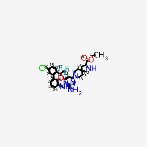 CCOC(=O)C1CC2(CCN(c3cc(O[C@H](c4ccc(Cl)cc4-c4cccc(N)c4)C(F)(F)F)nc(N)n3)CC2)CN1